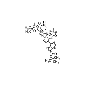 CC(C)(C)OC(=O)N1Cn2c(nc3c(OS(=O)(=O)C(F)(F)F)c(-c4ncnc5c4ncn5C(=O)OC(C)(C)C)ccc32)[C@]12CCNC(=O)C2